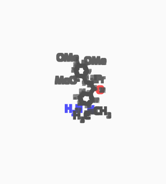 COc1cc(OC)c(OC)cc1/C=C(/C(=O)c1ccc(N)c(N(C)C)c1)C(C)C